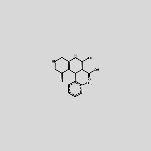 CC1=C(C(=O)O)C(c2ccccc2C)C2=C(CNCC2=O)N1